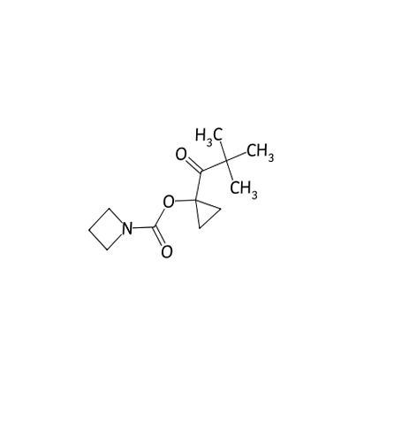 CC(C)(C)C(=O)C1(OC(=O)N2CCC2)CC1